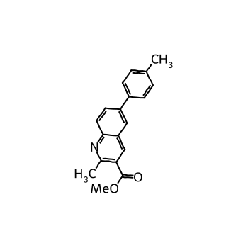 COC(=O)c1cc2cc(-c3ccc(C)cc3)ccc2nc1C